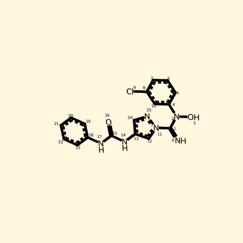 N=C(N(O)c1cccc(Cl)c1)n1cc(NC(=O)Nc2ccccc2)cn1